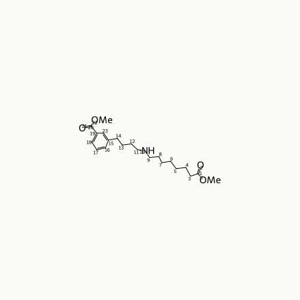 COC(=O)CCCCCCCNCCCCc1cccc(C(=O)OC)c1